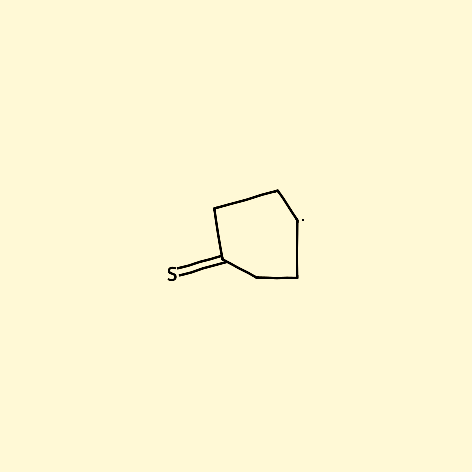 S=C1CC[CH]CC1